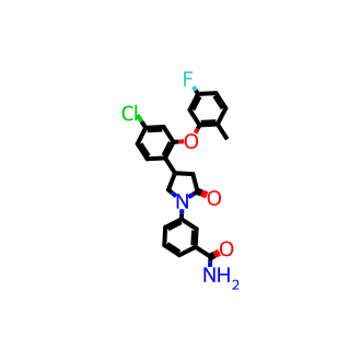 Cc1ccc(F)cc1Oc1cc(Cl)ccc1C1CC(=O)N(c2cccc(C(N)=O)c2)C1